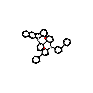 c1ccc(-c2ccc(N(c3cccc(-c4ccccc4)c3)c3ccccc3-c3ccccc3-n3c4ccccc4c4cc5ccccc5cc43)cc2)cc1